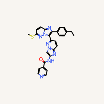 CCc1ccc(-c2nc3ccc(SC)nn3c2-c2ccc3nc(NC(=O)c4ccncc4)cn3n2)cc1